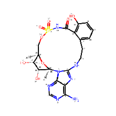 Nc1ncnc2c1nc1n2[C@@H]2O[C@H](COS(=O)(=O)NC(=O)c3c(O)cccc3CCN1)[C@@H](O)[C@H]2O